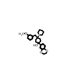 COc1cccc(CC2(N3CCCCC3)CCC(O)(c3ccc4c(c3)OCCO4)CC2)c1